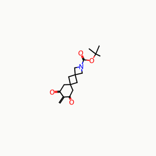 C=C1C(=O)CC2(CC1=O)CC1(CN(C(=O)OC(C)(C)C)C1)C2